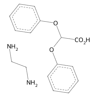 NCCN.O=C(O)C(Oc1ccccc1)Oc1ccccc1